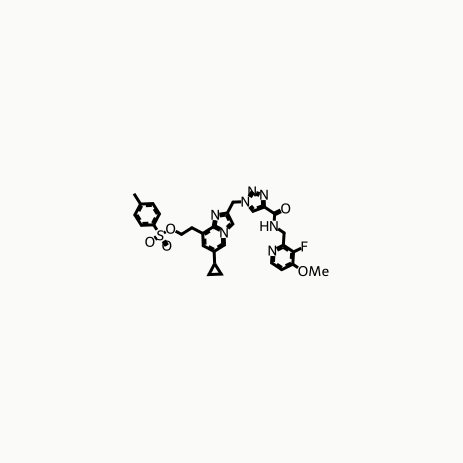 COc1ccnc(CNC(=O)c2cn(Cc3cn4cc(C5CC5)cc(CCOS(=O)(=O)c5ccc(C)cc5)c4n3)nn2)c1F